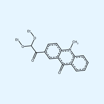 CCOC(OCC)C(=O)c1ccc2c(c1)c(=O)c1ccccc1n2C